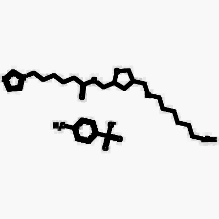 CCCCCCCCCCCCCCCCOCC1COC(COC(=O)CCCCC[n+]2ccsc2)C1.Cc1ccc(S(=O)(=O)[O-])cc1